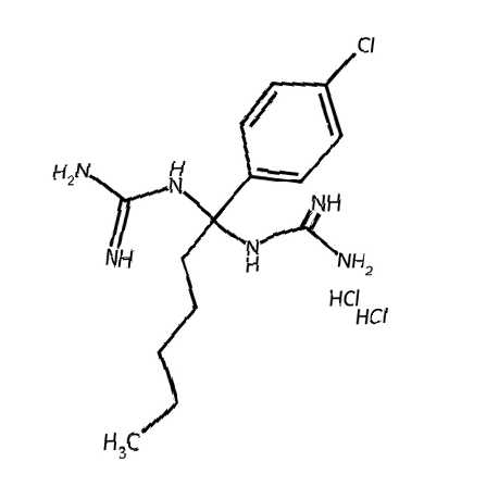 CCCCCC(NC(=N)N)(NC(=N)N)c1ccc(Cl)cc1.Cl.Cl